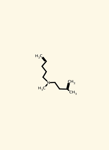 C=CCCCN(C)CCC(=C)C